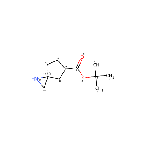 CC(C)(C)OC(=O)C1CC[C@@]2(CN2)C1